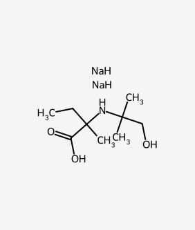 CCC(C)(NC(C)(C)CO)C(=O)O.[NaH].[NaH]